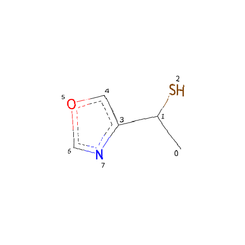 CC(S)c1cocn1